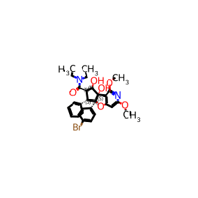 CCN(CC)C(=O)[C@H]1[C@@H](O)[C@@]2(O)c3c(cc(OC)nc3OC)O[C@@]2(c2ccc(Br)cc2)[C@@H]1c1ccccc1